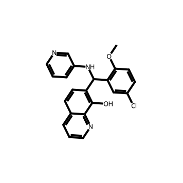 COc1ccc(Cl)cc1C(Nc1cccnc1)c1ccc2cccnc2c1O